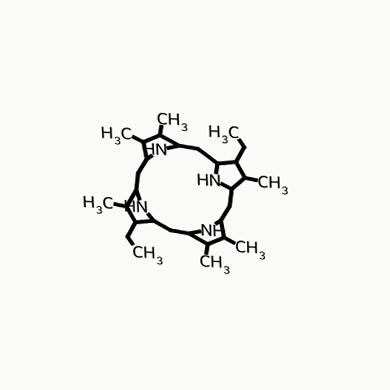 CCC1C2CC3NC(CC4NC(CC5NC(CC(N2)C1C)C(C)C5C)C(CC)C4C)C(C)C3C